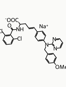 COc1ccc(CN(c2ccc(/C=C/CC(NC(=O)c3c(Cl)cccc3Cl)C(=O)[O-])cc2)c2ncccn2)cc1.[Na+]